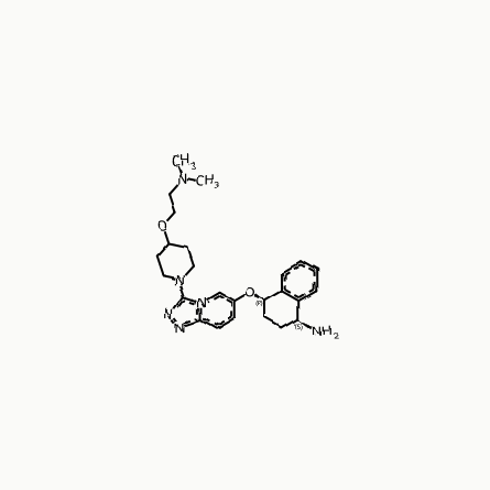 CN(C)CCOC1CCN(c2nnc3ccc(O[C@@H]4CC[C@H](N)c5ccccc54)cn23)CC1